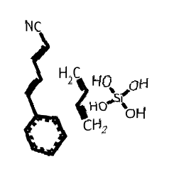 C=CC=C.N#CC=CC=Cc1ccccc1.O[Si](O)(O)O